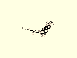 CCOCCC(=O)OCC(=O)O[C@]1(C)CC[C@@]2(C)[C@@H](CC[C@@H]3[C@@H]2CC[C@]2(C)[C@@H](C(C)=O)CC[C@@H]32)C1